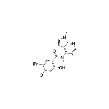 CC(C)c1cc(C(=O)N(C)c2ncnc3c2ccn3C)c(O)cc1O